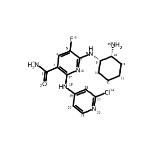 NC(=O)c1cc(F)c(N[C@H]2CCCC[C@H]2N)nc1Nc1ccnc(Cl)c1